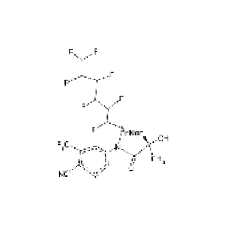 CCCCCCCCC[C@](C)(O)C(=O)N(SC(F)C(F)C(F)C(F)C(F)C(F)F)c1ccc(C#N)c(C(F)(F)F)c1